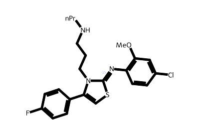 CCCNCCCn1c(-c2ccc(F)cc2)cs/c1=N\c1ccc(Cl)cc1OC